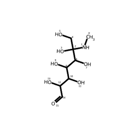 CNC(O)(CO)C(O)C(O)C(O)C(O)C=O